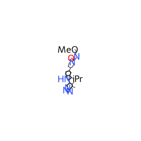 COCCN(C)CC(=O)N1CCC(c2ccc3[nH]c(-c4cn5ncnc5c(C)c4C)c(C(C)C)c3c2)CC1